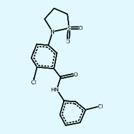 O=C(Nc1cccc(Cl)c1)c1cc(N2CCCS2(=O)=O)ccc1Cl